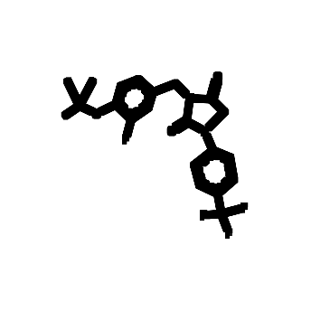 CC(C)(C)Oc1ccc(CN2C(=O)CN(c3ccc(C(F)(F)F)cc3)C2=O)cc1F